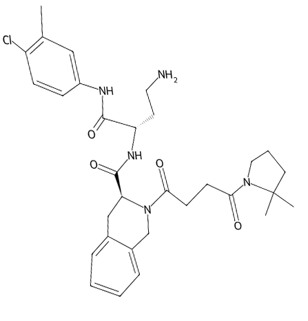 Cc1cc(NC(=O)[C@H](CCN)NC(=O)[C@@H]2Cc3ccccc3CN2C(=O)CCC(=O)N2CCCC2(C)C)ccc1Cl